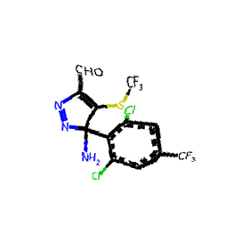 NC1(c2c(Cl)cc(C(F)(F)F)cc2Cl)N=NC(C=O)=C1SC(F)(F)F